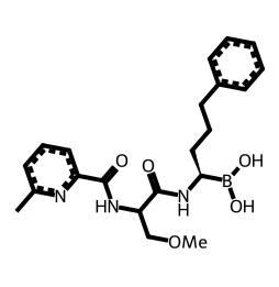 COCC(NC(=O)c1cccc(C)n1)C(=O)N[C@@H](CCCc1ccccc1)B(O)O